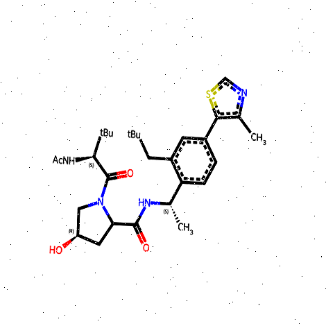 CC(=O)N[C@H](C(=O)N1C[C@H](O)CC1C(=O)N[C@@H](C)c1ccc(-c2scnc2C)cc1CC(C)(C)C)C(C)(C)C